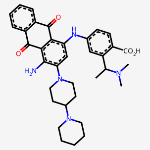 CC(c1cc(Nc2cc(N3CCC(N4CCCCC4)CC3)c(N)c3c2C(=O)c2ccccc2C3=O)ccc1C(=O)O)N(C)C